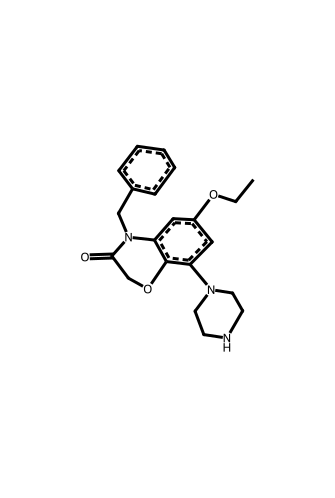 CCOc1cc(N2CCNCC2)c2c(c1)N(Cc1ccccc1)C(=O)CO2